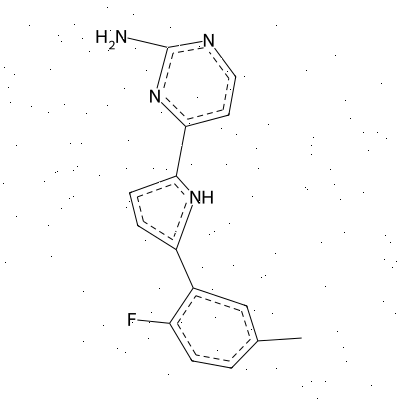 Cc1ccc(F)c(-c2ccc(-c3ccnc(N)n3)[nH]2)c1